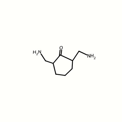 NCC1CCCC(CN)C1=O